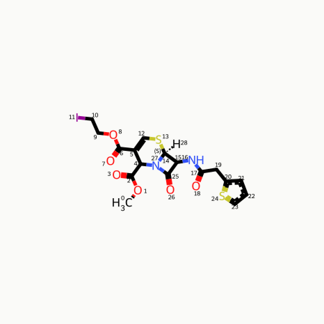 COC(=O)C1C(C(=O)OCCI)=CS[C@H]2C(NC(=O)Cc3cccs3)C(=O)N12